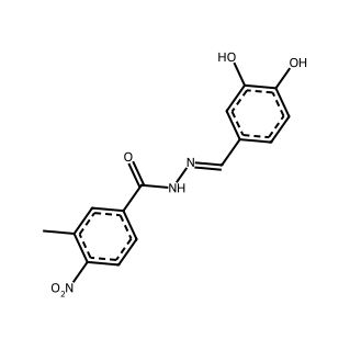 Cc1cc(C(=O)NN=Cc2ccc(O)c(O)c2)ccc1[N+](=O)[O-]